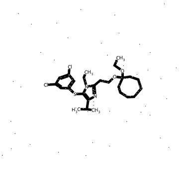 CCOC1(OCCc2nc(C(C)C)c(Sc3cc(Cl)cc(Cl)c3)n2CC)CCCCCCC1